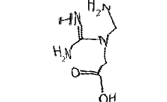 N=C(N)N(CN)CC(=O)O